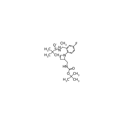 C[C@@H](N[S@+]([O-])C(C)(C)C)c1cc(F)ccc1N1CCC1CNC(=O)OC(C)(C)C